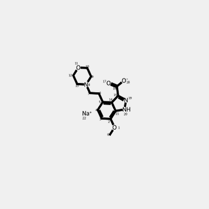 COc1ccc(CCN2CCOCC2)c2c(C(=O)[O-])n[nH]c12.[Na+]